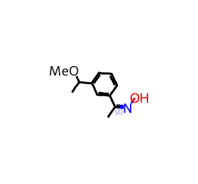 COC(C)c1cccc(/C(C)=N\O)c1